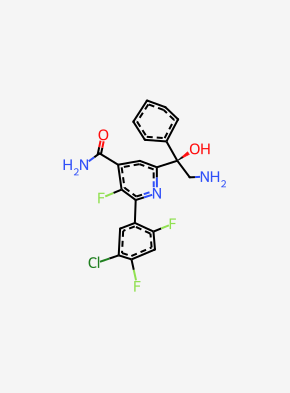 NC[C@@](O)(c1ccccc1)c1cc(C(N)=O)c(F)c(-c2cc(Cl)c(F)cc2F)n1